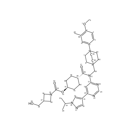 COc1ccc(C23CCC(CN(c4cc(-c5cnn(C(C)C)c5)ncn4)C(=O)[C@H]4CC[C@H](OC(=O)N5CC(CO)C5)CC4)(CC2)CC3)cc1C